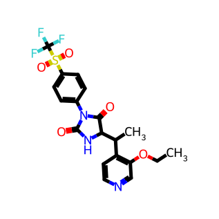 CCOc1cnccc1C(C)C1NC(=O)N(c2ccc(S(=O)(=O)C(F)(F)F)cc2)C1=O